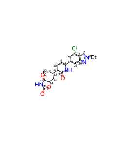 CCn1cc2c(Cl)cc(-c3ccc(C(CC4OC(=O)NC4=O)C(C)C)c(=O)[nH]3)cc2n1